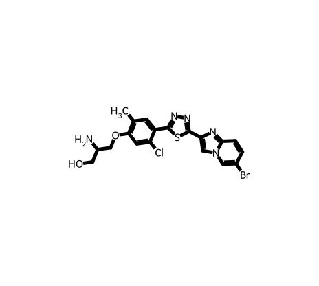 Cc1cc(-c2nnc(-c3cn4cc(Br)ccc4n3)s2)c(Cl)cc1OCC(N)CO